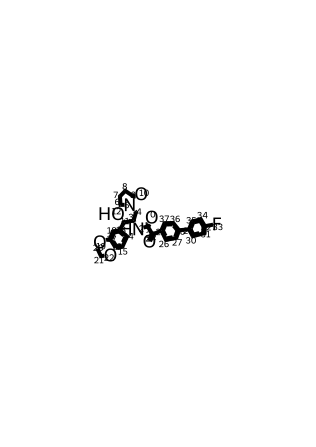 O=C(NC(CN1CCCC1=O)C(O)c1ccc2c(c1)OCCO2)C(=O)c1ccc(-c2ccc(F)cc2)cc1